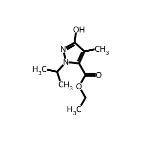 CCOC(=O)c1c(C)c(O)nn1C(C)C